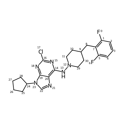 Fc1cccc(F)c1CC1CCN(Nc2nc(Cl)nc3c2ncn3C2CCCC2)CC1